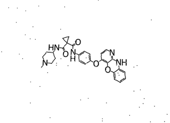 CN1CCC(NC(=O)C2(C(=O)Nc3ccc(Oc4ccnc5c4Oc4ccccc4N5)cc3)CC2)CC1